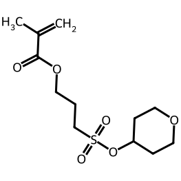 C=C(C)C(=O)OCCCS(=O)(=O)OC1CCOCC1